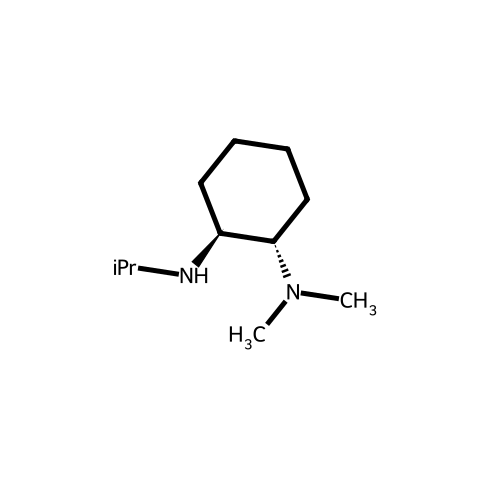 CC(C)N[C@H]1CCCC[C@@H]1N(C)C